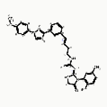 Cc1ccc(C(C)C)c(N2C(=O)CS/C2=N\C(=S)NCC/C=C/c2cccc(-c3ncn(-c4ccc(OC(F)(F)F)cc4)n3)c2)c1